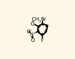 COc1c(Br)ccc(F)c1[N+](=O)[O-]